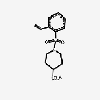 C=Cc1ccccc1S(=O)(=O)N1CCC(C(=O)O)CC1